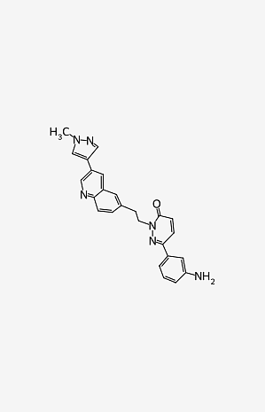 Cn1cc(-c2cnc3ccc(CCn4nc(-c5cccc(N)c5)ccc4=O)cc3c2)cn1